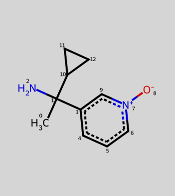 CC(N)(c1ccc[n+]([O-])c1)C1CC1